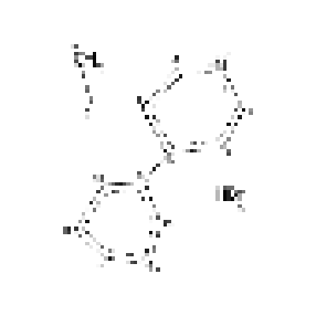 Br.CCc1cnccc1-c1ccccc1